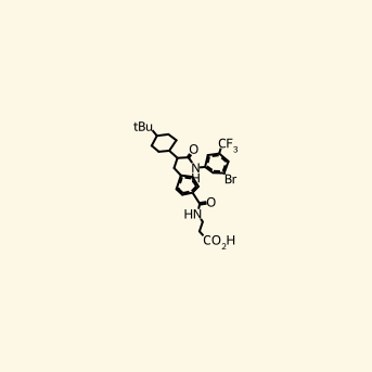 CC(C)(C)C1CCC(C(Cc2ccc(C(=O)NCCC(=O)O)cc2)C(=O)Nc2cc(Br)cc(C(F)(F)F)c2)CC1